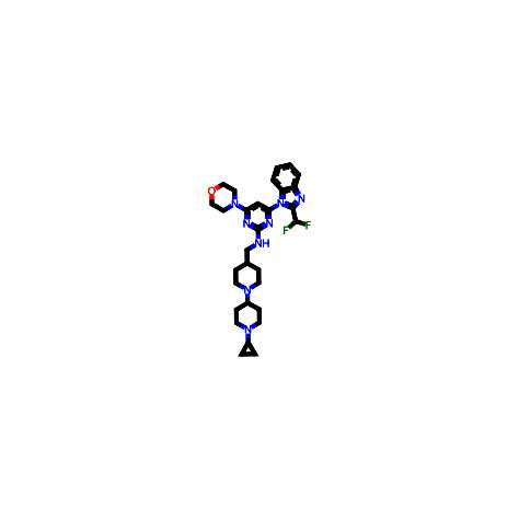 FC(F)c1nc2ccccc2n1-c1cc(N2CCOCC2)nc(NCC2CCN(C3CCN(C4CC4)CC3)CC2)n1